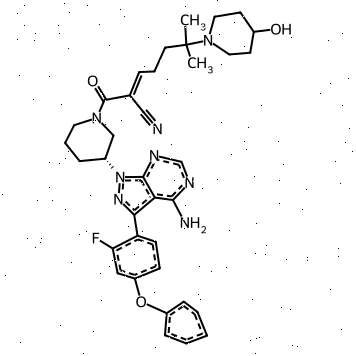 CC(C)(CC/C=C(\C#N)C(=O)N1CCC[C@@H](n2nc(-c3ccc(Oc4ccccc4)cc3F)c3c(N)ncnc32)C1)N1CCC(O)CC1